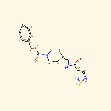 O=C(NCC1CCN(C(=O)OCc2ccccc2)CC1)c1cnsn1